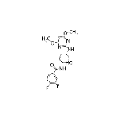 COc1cc(OC)nc(N[C@H]2CC[C@@H](NC(=O)c3ccc(F)c(F)c3)CC2)n1.Cl